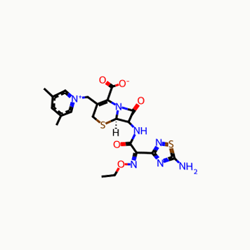 CCO/N=C(\C(=O)NC1C(=O)N2C(C(=O)[O-])=C(C[n+]3cc(C)cc(C)c3)CS[C@H]12)c1nsc(N)n1